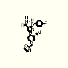 N#C[C@@H]1CN(Cc2ncco2)CC[C@@H]1n1cc(C(N)=O)c(Nc2ccc(F)cc2)n1